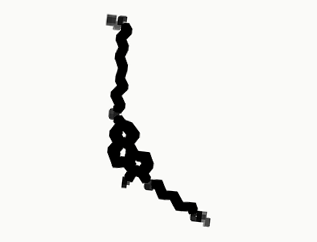 CCCCCCCCCCOc1ccc2c(ccc3c(F)c(OCCCCCC)ccc32)c1